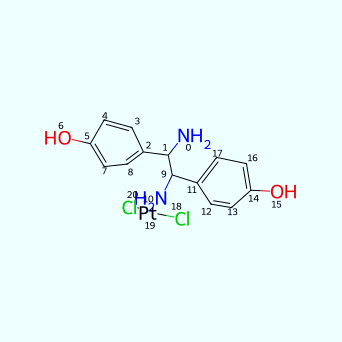 NC(c1ccc(O)cc1)C(N)c1ccc(O)cc1.[Cl][Pt][Cl]